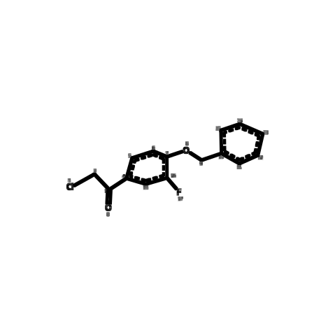 O=C(CCl)c1ccc(OCc2ccccc2)c(F)c1